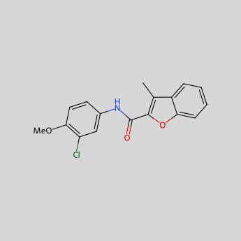 COc1ccc(NC(=O)c2oc3ccccc3c2C)cc1Cl